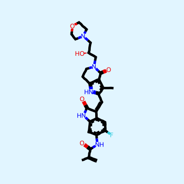 C=C(C)C(=O)Nc1cc2c(cc1F)/C(=C/c1[nH]c3c(c1C)C(=O)N(C[C@H](O)CN1CCOCC1)CC3)C(=O)N2